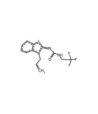 C=CCn1c(=NC(=O)NCC(F)(F)F)sc2ccccc21